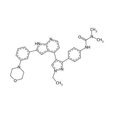 CCn1cc(-c2ccnc3[nH]c(-c4cccc(N5CCOCC5)c4)cc23)c(-c2ccc(NC(=O)N(C)C)cc2)n1